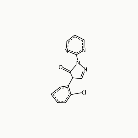 O=C1C(c2ccccc2Cl)C=NN1c1ncccn1